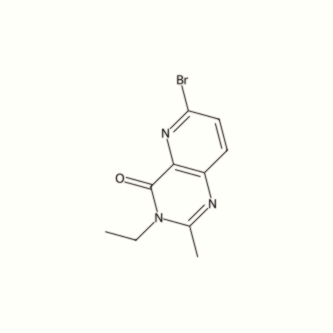 CCn1c(C)nc2ccc(Br)nc2c1=O